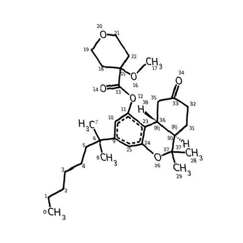 CCCCCCC(C)(C)c1cc(OC(=O)C2(OC)CCOCC2)c2c(c1)OC(C)(C)[C@@H]1CCC(=O)C[C@@H]21